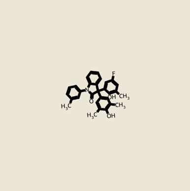 Cc1cccc(N2C(=O)C(c3cc(C)c(O)c(C)c3)(c3cc(F)cc(C)c3O)c3ccccc32)c1